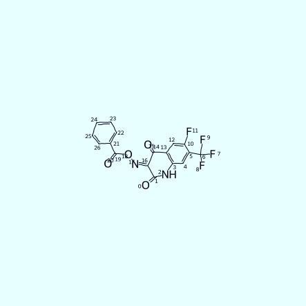 O=C1Nc2cc(C(F)(F)F)c(F)cc2C(=O)C1=NOC(=O)c1ccccc1